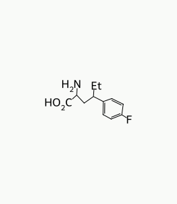 CCC(CC(N)C(=O)O)c1ccc(F)cc1